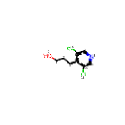 OCCCc1c(Cl)cncc1Cl